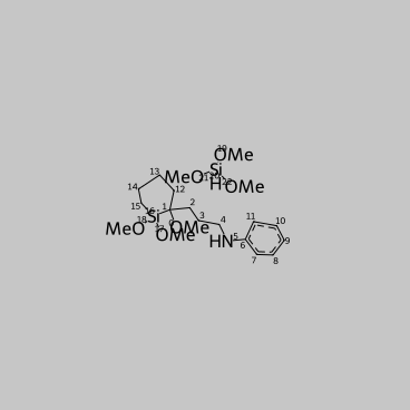 COC1(CCCNc2ccccc2)CCCC[Si]1(OC)OC.CO[SiH](OC)OC